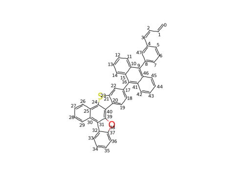 C=C/C=C\c1cccc(-c2c3ccccc3c(-c3ccc4c(c3)sc3c5ccccc5c5c6ccccc6oc5c43)c3ccccc23)c1